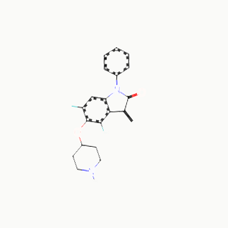 C=C1C(=O)N(c2ccccc2)c2cc(F)c(OC3CCN(CC)CC3)c(F)c21